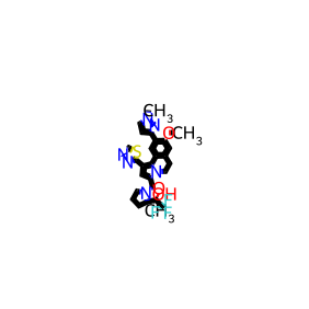 COc1cc2c(cc1-c1ccn(C)n1)-c1c(-c3nncs3)cc(C(=O)N3CCC[C@@]3(C)[C@@H](O)C(F)(F)F)n1CC2